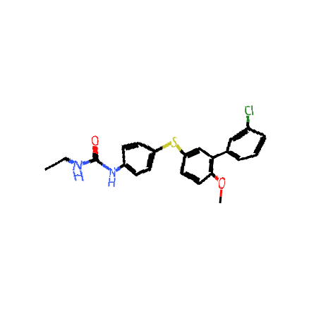 CCNC(=O)Nc1ccc(Sc2ccc(OC)c(-c3cccc(Cl)c3)c2)cc1